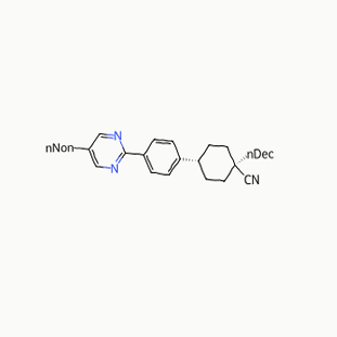 CCCCCCCCCC[C@]1(C#N)CC[C@H](c2ccc(-c3ncc(CCCCCCCCC)cn3)cc2)CC1